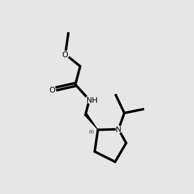 COCC(=O)NC[C@@H]1CCCN1C(C)C